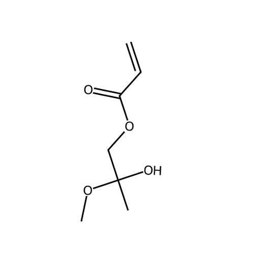 C=CC(=O)OCC(C)(O)OC